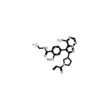 C=CC(=O)N1CCC(c2nn3ncnc(N)c3c2-c2ccc(C(=O)NCC(F)(F)F)c(OC)c2)C1